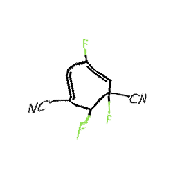 N#CC1=CC(F)=CC(F)(C#N)C1F